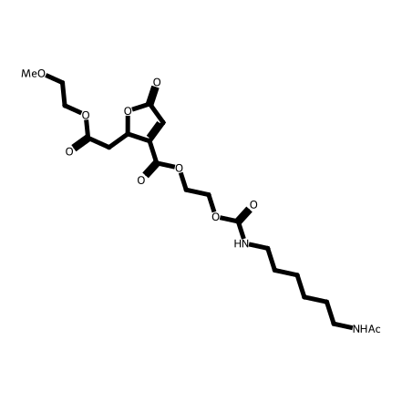 COCCOC(=O)CC1OC(=O)C=C1C(=O)OCCOC(=O)NCCCCCCNC(C)=O